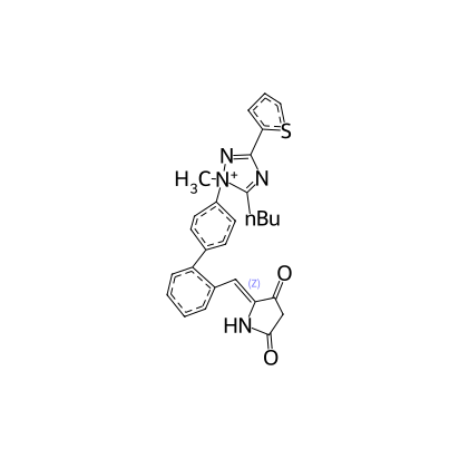 CCCCC1=NC(c2cccs2)=N[N+]1(C)c1ccc(-c2ccccc2/C=C2\NC(=O)CC2=O)cc1